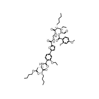 CCCCC[C@@H](C(=O)NCNC(=O)c1ccc(-c2ccc(C(=O)N[C@@H](CC(=O)OCCCC)C(=O)OCCCC)c(OCC)c2)o1)[C@@H](CC)N(C=O)OC(=O)c1ccc(OC)cc1F